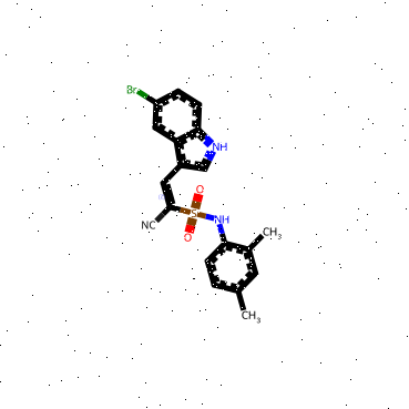 Cc1ccc(NS(=O)(=O)/C(C#N)=C\c2c[nH]c3ccc(Br)cc23)c(C)c1